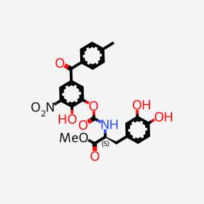 COC(=O)[C@H](Cc1ccc(O)c(O)c1)NC(=O)Oc1cc(C(=O)c2ccc(C)cc2)cc([N+](=O)[O-])c1O